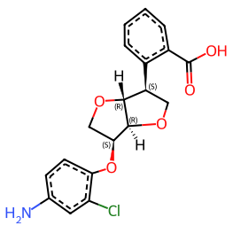 Nc1ccc(O[C@H]2CO[C@H]3[C@H]2OC[C@@H]3c2ccccc2C(=O)O)c(Cl)c1